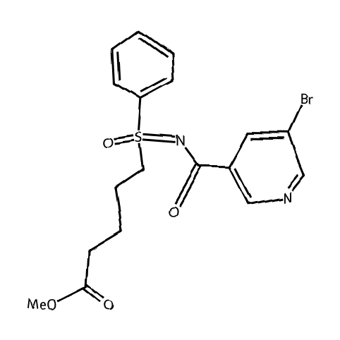 COC(=O)CCCCS(=O)(=NC(=O)c1cncc(Br)c1)c1ccccc1